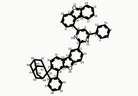 c1ccc(-c2cc(-c3cccc4oc5ccccc5c34)nc(-c3ccc4oc5c6c(ccc5c4c3)C3(c4ccccc4-6)C4CC5CC(C4)CC3C5)n2)cc1